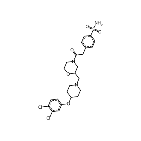 NS(=O)(=O)c1ccc(CC(=O)N2CCOC(CN3CCC(Oc4ccc(Cl)c(Cl)c4)CC3)C2)cc1